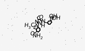 CC1Cc2c(C(N)=O)cccc2N1c1nc2c(c(NCc3cccc(B(O)O)c3)n1)OCC2